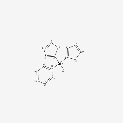 C[Si](C1=CC=CC1)(C1=CC=CC1)c1ccccc1